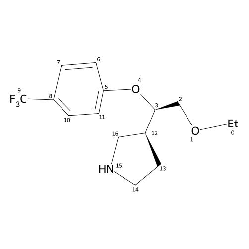 CCOC[C@H](Oc1ccc(C(F)(F)F)cc1)[C@H]1CCNC1